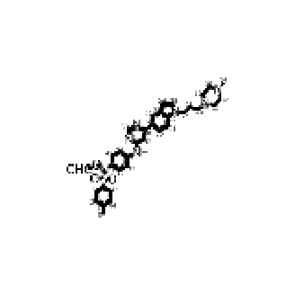 Cc1ccc(S(=O)(=O)N(OC=O)c2ccc(Nc3cc(-c4ccc5c(ccn5CCCN5CCN(C)CC5)c4)ncn3)cc2)cc1